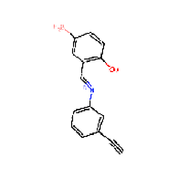 Bc1ccc(O)c(/C=N/c2cccc(C#C)c2)c1